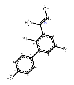 N/C(=N\O)c1cc(Br)cc(-c2ccc(O)cc2)c1I